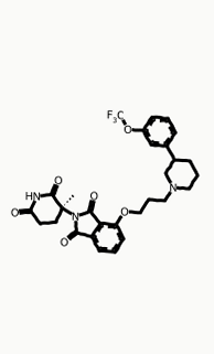 C[C@]1(N2C(=O)c3cccc(OCCCN4CCCC(c5cccc(OC(F)(F)F)c5)C4)c3C2=O)CCC(=O)NC1=O